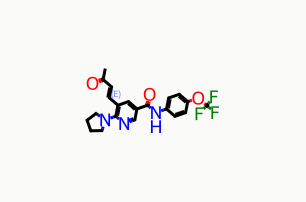 CC(=O)/C=C/c1cc(C(=O)Nc2ccc(OC(F)(F)F)cc2)cnc1N1CCCC1